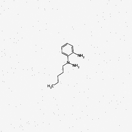 CCCCCN(N)c1ccccc1N